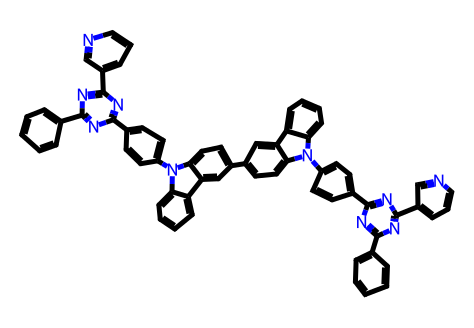 c1ccc(-c2nc(-c3ccc(-n4c5ccccc5c5cc(-c6ccc7c(c6)c6ccccc6n7-c6ccc(-c7nc(-c8ccccc8)nc(-c8cccnc8)n7)cc6)ccc54)cc3)nc(-c3cccnc3)n2)cc1